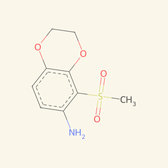 CS(=O)(=O)c1c(N)ccc2c1OCCO2